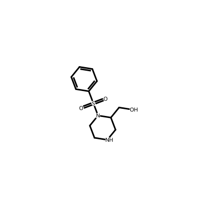 O=S(=O)(c1ccccc1)N1CCNCC1CO